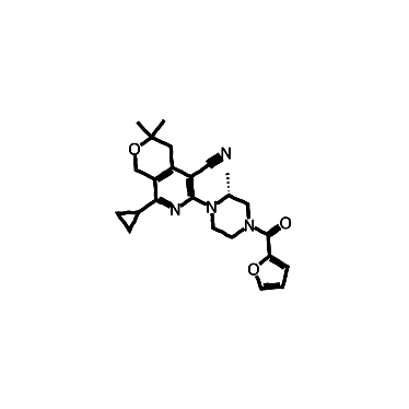 C[C@@H]1CN(C(=O)c2ccco2)CCN1c1nc(C2CC2)c2c(c1C#N)CC(C)(C)OC2